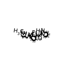 CCc1nn(Cc2ccn(C)n2)c2cccc(NC(=O)c3cnc4ccccn34)c12